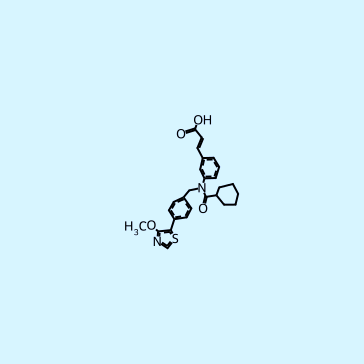 COc1ncsc1-c1ccc(CN(C(=O)C2CCCCC2)c2cccc(C=CC(=O)O)c2)cc1